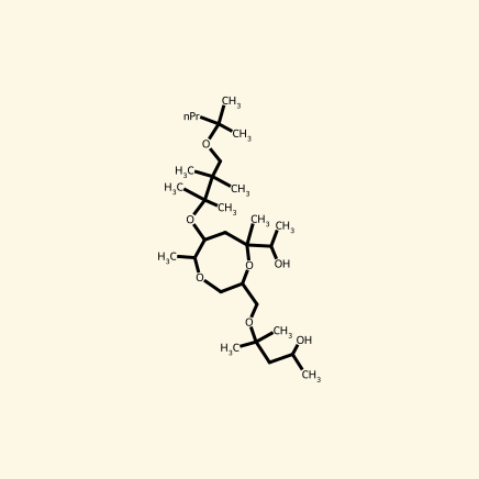 CCCC(C)(C)OCC(C)(C)C(C)(C)OC1CC(C)(C(C)O)OC(COC(C)(C)CC(C)O)COC1C